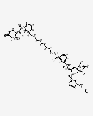 CCCOc1cccc(Oc2cc3c(cc2NS(=O)(=O)c2cccc(C(=O)NCCCCCCCCNc4cccc5c4CN(C4CCC(=O)NC4=O)C5=O)c2)n(C)c(=O)n3C)c1